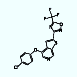 FC(F)(F)c1nc(-c2cc3c(Oc4ccc(Cl)cc4)cncc3s2)no1